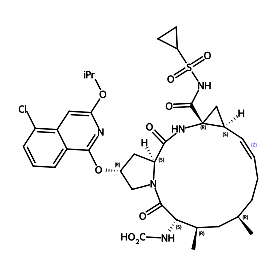 CC(C)Oc1cc2c(Cl)cccc2c(O[C@@H]2C[C@H]3C(=O)N[C@]4(C(=O)NS(=O)(=O)C5CC5)C[C@H]4/C=C\CC[C@@H](C)C[C@@H](C)[C@H](NC(=O)O)C(=O)N3C2)n1